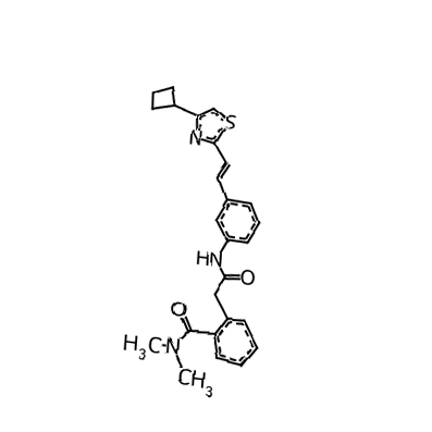 CN(C)C(=O)c1ccccc1CC(=O)Nc1cccc(C=Cc2nc(C3CCC3)cs2)c1